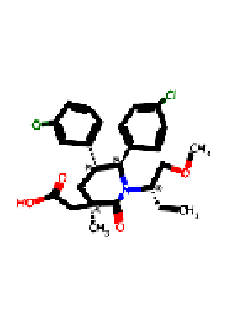 CC[C@@H](COC)N1C(=O)[C@@](C)(CC(=O)O)C[C@H](c2cccc(Cl)c2)[C@H]1c1ccc(Cl)cc1